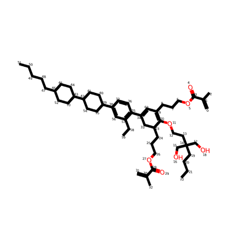 C=C(C)C(=O)OCCCC1=C(OCCC(CO)(CO)CCCC)C(CCCOC(=O)C(=C)C)CC(c2ccc(C3CCC(C4CCC(CCCCC)CC4)CC3)cc2CC)=C1